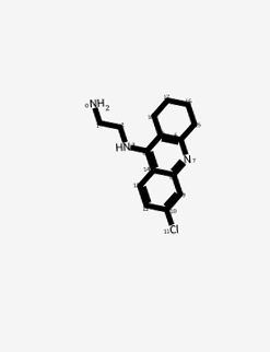 NCCNc1c2c(nc3cc(Cl)ccc13)CCCC2